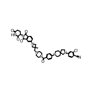 CC1(CN2CCN(C(=O)c3ccc(N4CCC5(CC4)CCN(c4ccc(C#N)c(Cl)c4)C5)cc3)CC2)CN(c2ccc3c(c2)C(=O)N(C2CCC(=O)NC2=O)C3=O)C1